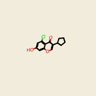 O=c1c(C2CCCC2)coc2cc(O)cc(Cl)c12